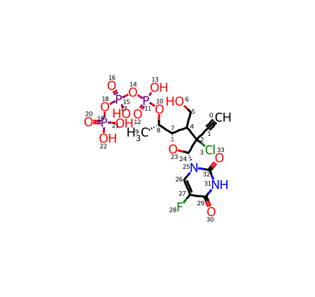 C#CC1(Cl)C(CO)[C@@H]([C@H](C)OP(=O)(O)OP(=O)(O)OP(=O)(O)O)O[C@H]1n1cc(F)c(=O)[nH]c1=O